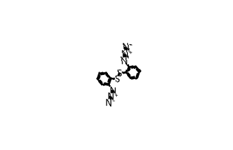 [N-]=[N+]=Nc1ccccc1SSc1ccccc1N=[N+]=[N-]